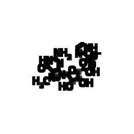 C[n+]1cn([C@@H]2O[C@H](C(O)OP(=O)([O-])c3ncc[nH]3)[C@@H](O)[C@H]2O)c2nc(N)[nH]c(=O)c21